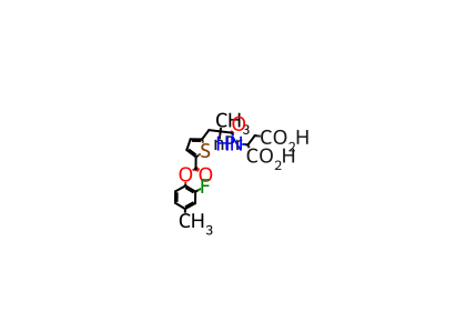 CCCC(C)(Cc1ccc(C(=O)Oc2ccc(C)cc2F)s1)C(=O)NC(CC(=O)O)C(=O)O